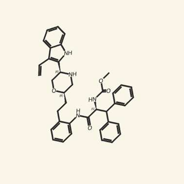 C=Cc1c([C@@H]2CO[C@H](CCc3ccccc3NC(=O)[C@@H](NC(=O)OC)C(c3ccccc3)c3ccccc3)CN2)[nH]c2ccccc12